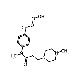 CN1CCN(CCC(=O)N(C)c2cc[c]([Ge][O]OO)cc2)CC1